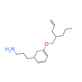 C=CCC(CCC)COC1=CC=CC(CCCN)C1